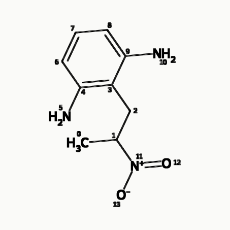 CC(Cc1c(N)cccc1N)[N+](=O)[O-]